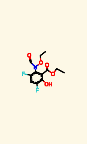 CCOC(=O)c1c(O)c(F)cc(F)c1N(C=O)OCC